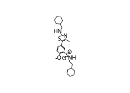 COc1ccc(-c2sc(NCC3CCCCC3)nc2C)cc1S(=O)(=O)NCCC1CCCCC1